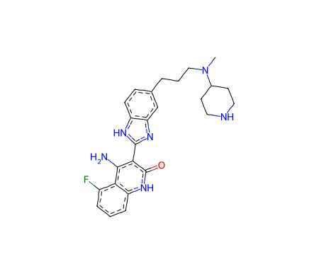 CN(CCCc1ccc2[nH]c(-c3c(N)c4c(F)cccc4[nH]c3=O)nc2c1)C1CCNCC1